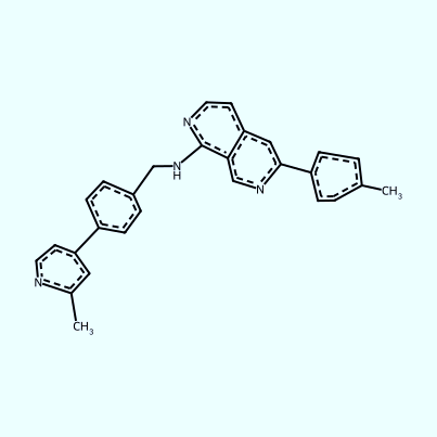 Cc1ccc(-c2cc3ccnc(NCc4ccc(-c5ccnc(C)c5)cc4)c3cn2)cc1